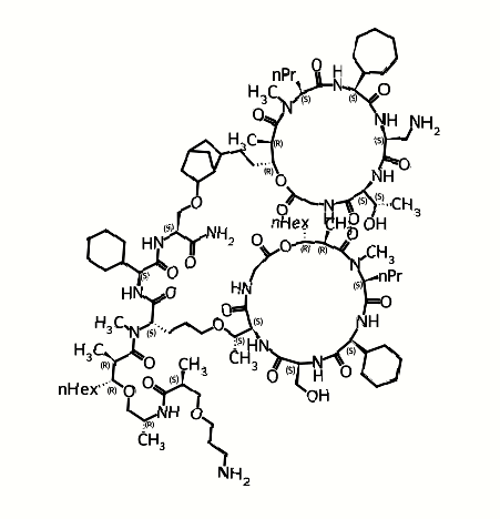 CCCCCC[C@@H](OC[C@@H](C)NC(=O)[C@@H](C)COCCCN)[C@@H](C)C(=O)N(C)[C@@H](CCCO[C@@H](C)[C@@H]1NC(=O)[C@H](CO)NC(=O)[C@H](C2CCCCC2)NC(=O)[C@H](CCC)N(C)C(=O)[C@H](C)[C@@H](CCCCCC)OC(=O)CNC1=O)C(=O)N[C@H](C(=O)N[C@@H](COC1CC2CC(CC[C@H]3OC(=O)CNC(=O)[C@H]([C@H](C)O)NC(=O)[C@H](CN)NC(=O)[C@H](C4CCCCCC4)NC(=O)[C@H](CCC)N(C)C(=O)[C@@H]3C)C1C2)C(N)=O)C1CCCCC1